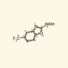 CNc1nc2cc(C(F)(F)F)ccc2o1